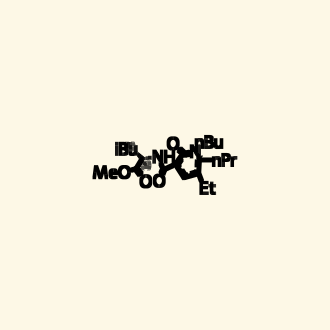 CCCCn1c(CCC)c(CC)cc(C(=O)N[C@H](C(=O)OC)[C@H](C)CC)c1=O